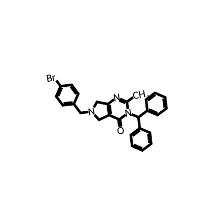 Cc1nc2c(c(=O)n1C(c1ccccc1)c1ccccc1)CN(Cc1ccc(Br)cc1)C2